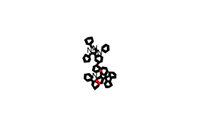 c1ccc(-c2nc(-c3ccccc3)c3c4cc(-c5ccc(N(c6ccccc6-c6ccccc6)c6cccc7c6-c6ccccc6C76c7ccccc7-c7ccccc76)cc5)ccc4n(-c4ccccc4)c3n2)cc1